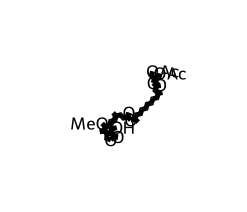 COc1c(C)c2c(c(O)c1C/C=C(\C)CCC(=O)OC(C)CCCCCCCCC(C)CC(=O)OC(COC(C)=O)COC(C)=O)C(=O)OC2